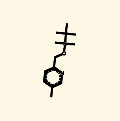 Cc1ccc(CO[Si](C)(C)C(C)(C)C)nc1